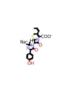 C/C=C\C1=C(C(=O)[O-])N2C(=O)C(N3C(=O)C(c4ccc(O)cc4)=NC3(C)C)[C@@H]2SC1.[Na+]